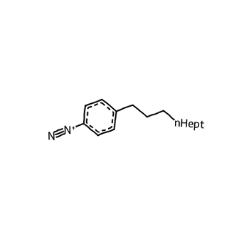 CCCCCCCCCCc1ccc([N+]#N)cc1